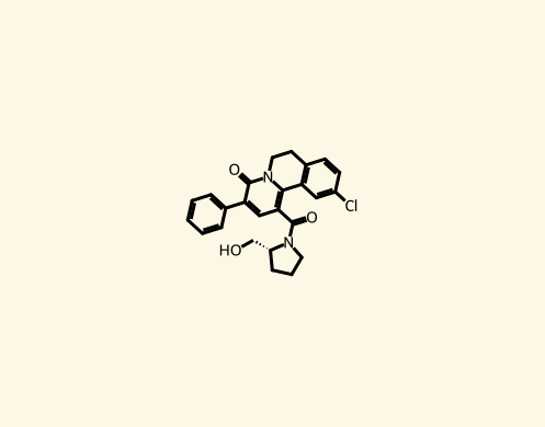 O=C(c1cc(-c2ccccc2)c(=O)n2c1-c1cc(Cl)ccc1CC2)N1CCC[C@@H]1CO